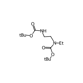 CCN(CCNC(=O)OC(C)(C)C)C(=O)OC(C)(C)C